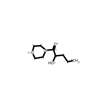 CCCC(O)C(=O)N1CCOCC1